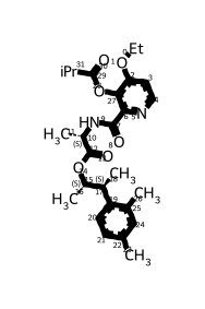 CCOc1ccnc(C(=O)N[C@@H](C)C(=O)O[C@@H](C)[C@@H](C)c2ccc(C)cc2C)c1OC(=O)C(C)C